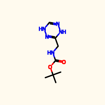 CC(C)(C)OC(=O)NCC1=NNC=NN1